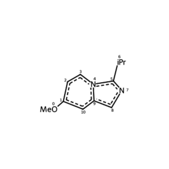 COc1ccn2c(C(C)C)ncc2c1